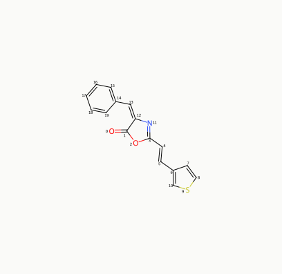 O=C1OC(C=Cc2ccsc2)=NC1=Cc1ccccc1